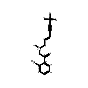 C=C(CN(C)CC=CC#CC(C)(C)C)c1ccccc1F